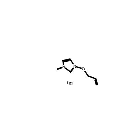 C=CCON1C=CN(C)C1.Cl